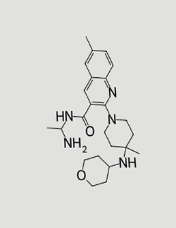 Cc1ccc2nc(N3CCC(C)(NC4CCOCC4)CC3)c(C(=O)NC(C)N)cc2c1